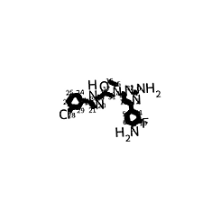 Nc1nc(-c2ccc(N)c(F)c2)cc(N2CCOC(c3ncc(-c4cccc(Cl)c4)[nH]3)C2)n1